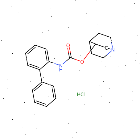 Cl.O=C(Nc1ccccc1-c1ccccc1)OC1CN2CCC1CC2